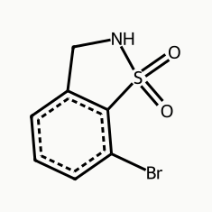 O=S1(=O)NCc2cccc(Br)c21